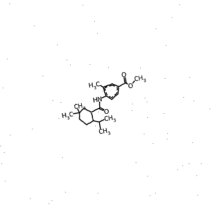 COC(=O)c1ccc(NC(=O)C2CC(C)(C)CCC2C(C)C)c(C)c1